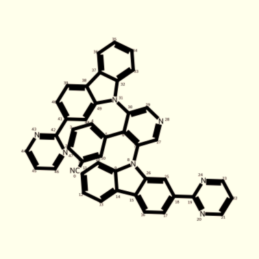 N#Cc1cccc(-c2c(-n3c4ccccc4c4ccc(-c5ncccn5)cc43)cncc2-n2c3ccccc3c3ccc(-c4ncccn4)cc32)c1